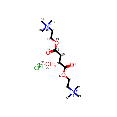 C[N+](C)(C)CCOC(=O)CCC(=O)OCC[N+](C)(C)C.O.[Cl-].[Cl-]